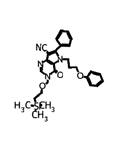 C[Si](C)(C)CCOCn1cnc2c(C#N)c(-c3ccccc3)n(CCCOc3ccccc3)c2c1=O